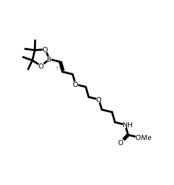 COC(=O)NCCCOCCOC/C=C/B1OC(C)(C)C(C)(C)O1